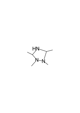 CC1NC(C)N(C)N1C